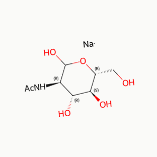 CC(=O)N[C@H]1C(O)O[C@H](CO)[C@@H](O)[C@@H]1O.[Na]